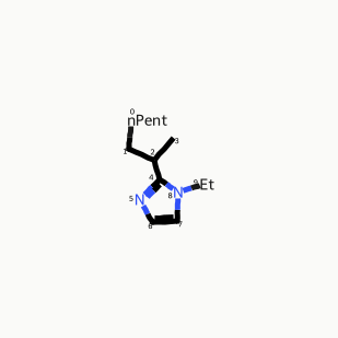 CCCCCCC(C)c1nccn1CC